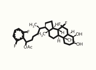 CC(=O)OC(CCC[C@@H](C)[C@H]1CC[C@H]2[C@H]3[C@H](CC[C@]12C)[C@@]1(C)CC[C@H](O)[C@H](O)[C@@H]1CC3(F)F)c1c(F)cccc1F